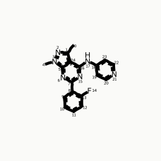 Cc1nn(C)c2nc(-c3ccccc3F)nc(Nc3ccncc3)c12